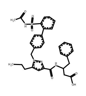 CCCc1cc(C(=O)NC(CC(=O)O)Cc2ccccc2)nn1Cc1ccc(-c2ccccc2S(=O)(=O)NC(C)=O)cc1